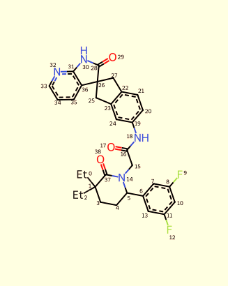 CCC1(CC)CCC(c2cc(F)cc(F)c2)N(CC(=O)Nc2ccc3c(c2)CC2(C3)C(=O)Nc3ncccc32)C1=O